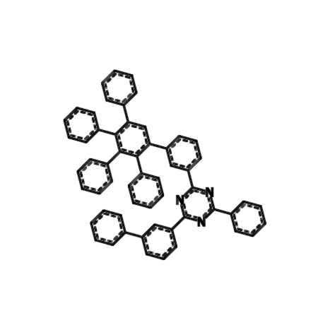 c1ccc(-c2cccc(-c3nc(-c4ccccc4)nc(-c4cccc(-c5cc(-c6ccccc6)c(-c6ccccc6)c(-c6ccccc6)c5-c5ccccc5)c4)n3)c2)cc1